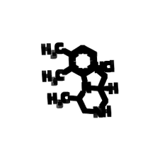 Cc1ccc2c(c1C)N1C(C)CNC[C@H]1C2.Cl